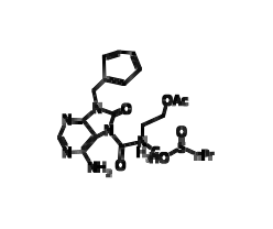 CC(=O)OCCN(C)C(=O)n1c(=O)n(Cc2ccccc2)c2ncnc(N)c21.CCCS(=O)O